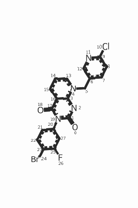 O=c1nc2n(Cc3ccc(Cl)nc3)cccc-2c(=O)n1-c1ccc(Br)c(F)c1